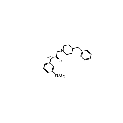 CNc1cccc(NC(=O)CN2CCC(Cc3ccccc3)CC2)c1